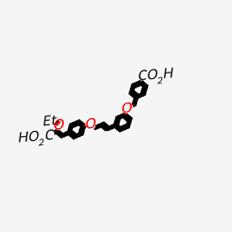 CCOC(Cc1ccc(OCC=Cc2cccc(OCc3ccc(C(=O)O)cc3)c2)cc1)C(=O)O